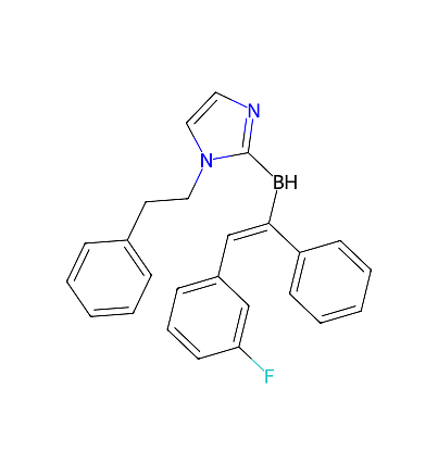 Fc1cccc(C=C(Bc2nccn2CCc2ccccc2)c2ccccc2)c1